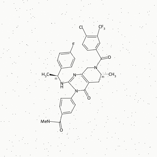 CNC(=O)c1ccc(-n2c(N[C@@H](C)c3ccc(F)cc3)nc3c(c2=O)C[C@@H](C)N(C(=O)c2ccc(Cl)c(C(F)(F)F)c2)C3)cc1